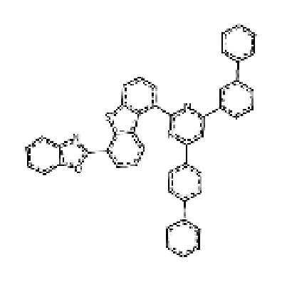 c1ccc(-c2ccc(-c3cc(-c4cccc(-c5ccccc5)c4)nc(-c4cccc5sc6c(-c7nc8ccccc8o7)cccc6c45)n3)cc2)cc1